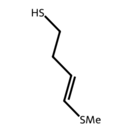 CSC=CCCS